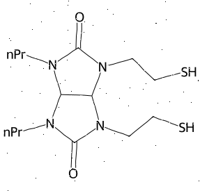 CCCN1C(=O)N(CCS)C2C1N(CCC)C(=O)N2CCS